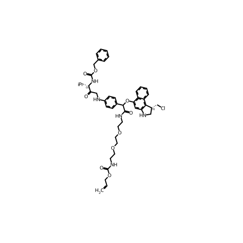 C=CCOC(=O)NCCOCCOCCNC(=O)C(Oc1cc2c(c3ccccc13)[C@H](CCl)CN2)c1ccc(NCC(=O)[C@@H](NC(=O)OCc2ccccc2)C(C)C)cc1